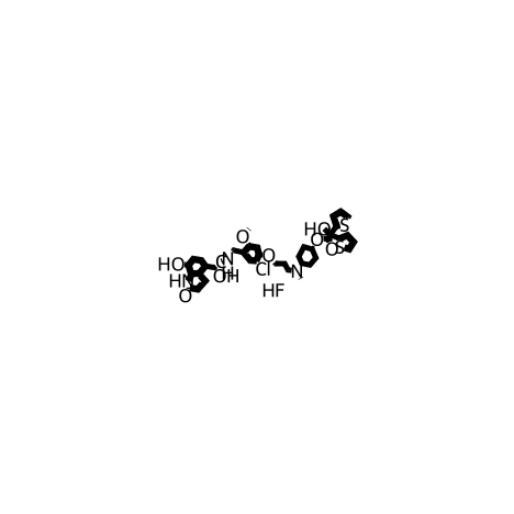 COc1cc(OCCCN(C)[C@H]2CC[C@H](OC(=O)C(O)(c3cccs3)c3cccs3)CC2)c(Cl)cc1CNC[C@H](O)c1ccc(O)c2[nH]c(=O)ccc12.F